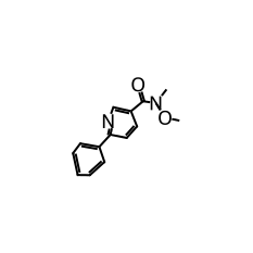 CON(C)C(=O)c1ccc(-c2ccccc2)nc1